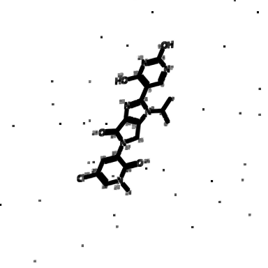 CC(C)n1c(-c2cnc(O)nc2O)nc2c1CN(c1cc(Cl)cn(C)c1=O)C2=O